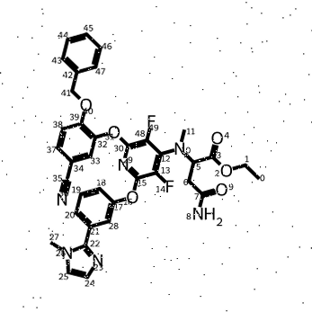 CCOC(=O)C(CC(N)=O)N(C)c1c(F)c(Oc2cccc(-c3nccn3C)c2)nc(Oc2cc(C#N)ccc2OCc2ccccc2)c1F